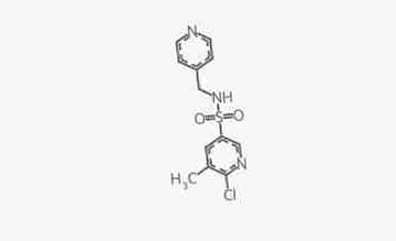 Cc1cc(S(=O)(=O)NCc2ccncc2)cnc1Cl